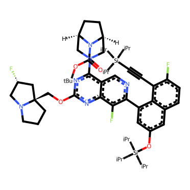 CC(C)[Si](C#Cc1c(F)ccc2cc(O[Si](C(C)C)(C(C)C)C(C)C)cc(-c3ncc4c(N5C[C@H]6CC[C@@H](C5)N6C(=O)OC(C)(C)C)nc(OC[C@@]56CCCN5C[C@H](F)C6)nc4c3F)c12)(C(C)C)C(C)C